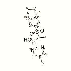 Cc1cnc([C@H](O)[C@H](C)S(=O)(=O)c2nc3ccccc3s2)nc1